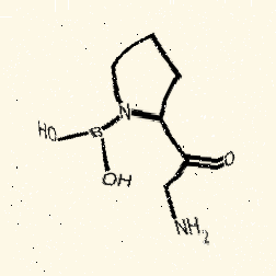 NCC(=O)C1CCCN1B(O)O